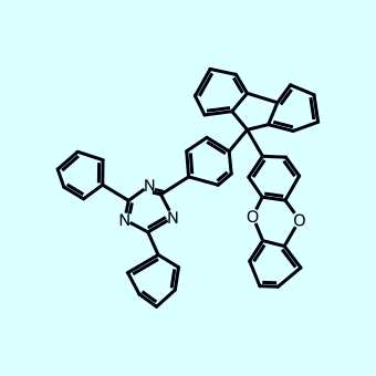 c1ccc(-c2nc(-c3ccccc3)nc(-c3ccc(C4(c5ccc6c(c5)Oc5ccccc5O6)c5ccccc5-c5ccccc54)cc3)n2)cc1